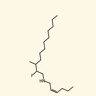 CCC/C=C\CNCC(I)C(C)CCCCCCCCC